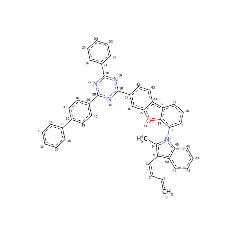 C=C/C=C\c1c(C)n(-c2cccc3c2oc2cc(-c4nc(-c5ccccc5)nc(-c5ccc(-c6ccccc6)cc5)n4)ccc23)c2ccccc12